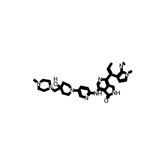 C=Nc1c(/C(=C\C)c2ncc(Nc3ccc(N4CCC(O)(CN5CCN(C)CC5)CC4)cn3)c3c2CNC3=O)ccn1C